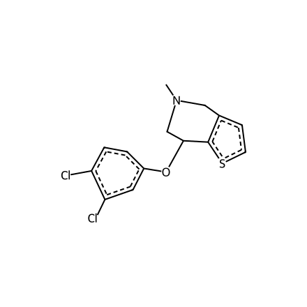 CN1Cc2ccsc2C(Oc2ccc(Cl)c(Cl)c2)C1